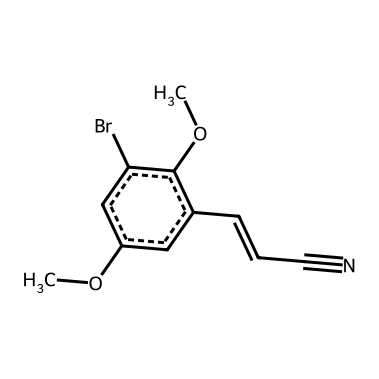 COc1cc(Br)c(OC)c(C=CC#N)c1